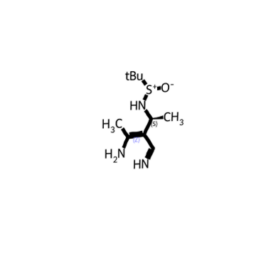 C/C(N)=C(/C=N)[C@H](C)N[S+]([O-])C(C)(C)C